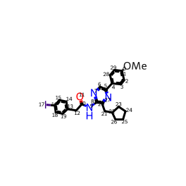 COc1ccc(-c2cnc(NC(=O)Cc3ccc(I)cc3)c(CC3CCCC3)n2)cc1